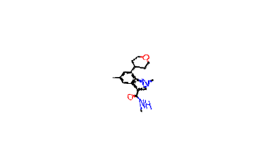 CNC(=O)c1cn(C)c2c(C3CCOCC3)cc(C)cc12